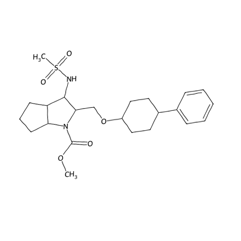 COC(=O)N1C2CCCC2C(NS(C)(=O)=O)C1COC1CCC(c2ccccc2)CC1